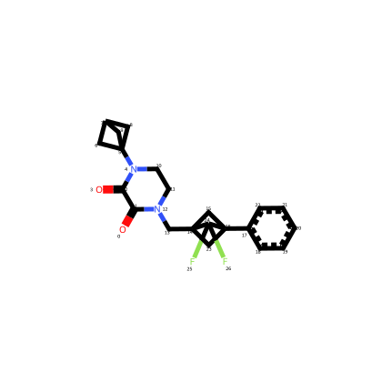 O=C1C(=O)N(C23CC(C2)C3)CCN1CC12CC(c3ccccc3)(C1)C2(F)F